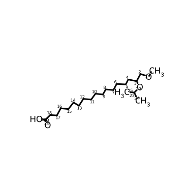 COCC(CCCCCCCCCCCCCCCC(=O)O)OC(C)C